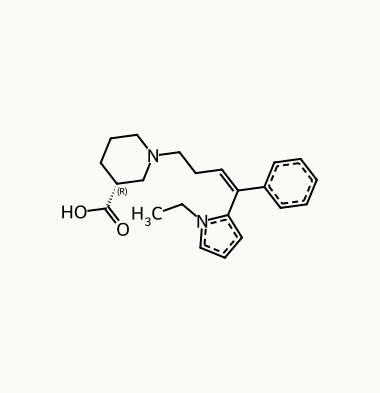 CCn1cccc1C(=CCCN1CCC[C@@H](C(=O)O)C1)c1ccccc1